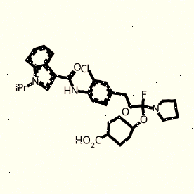 CC(C)n1cc(C(=O)Nc2ccc(CC(=O)C(F)(OC3CCC(C(=O)O)CC3)N3CCCC3)cc2Cl)c2ccccc21